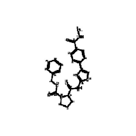 CC(C)(C)NC(=O)c1ccc(-c2csc(NC(=O)C3CCCN3C(=O)OCc3ccccc3)n2)cc1